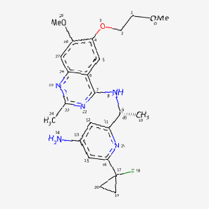 COCCOc1cc2c(N[C@H](C)c3cc(N)cc(C4(F)CC4)n3)nc(C)nc2cc1OC